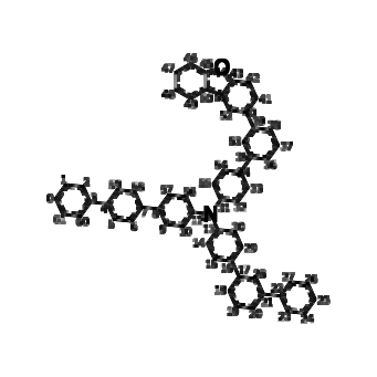 c1ccc(-c2ccc(-c3ccc(N(c4ccc(-c5cccc(-c6ccccc6)c5)cc4)c4ccc(-c5cccc(-c6ccc7oc8ccccc8c7c6)c5)cc4)cc3)cc2)cc1